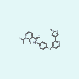 Cn1cc(-c2cc(Oc3ccc(NC(=O)c4cccn(C(F)F)c4=O)nc3)ccn2)cn1